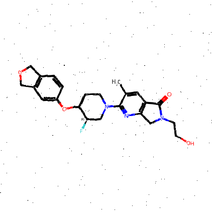 Cc1cc2c(nc1N1CCC(Oc3ccc4c(c3)COC4)[C@H](F)C1)CN(CCO)C2=O